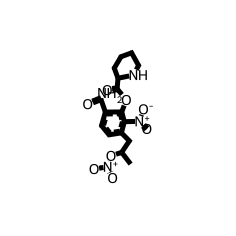 CC(Cc1ccc(C(N)=O)c(OC(=O)C2CCCCN2)c1[N+](=O)[O-])O[N+](=O)[O-]